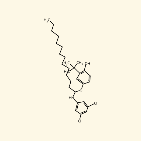 CCCCCCCCCCCCCC(Nc1cc(Cl)[c]c(Cl)c1)Oc1ccc(O)c(C(C)(C)C)c1